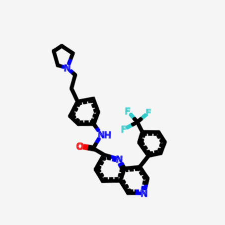 O=C(Nc1ccc(CCN2CCCC2)cc1)c1ccc2cncc(-c3cccc(C(F)(F)F)c3)c2n1